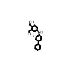 C=Cc1ccc(NC2=CCC(c3ccccc3)C=C2)cc1C=C